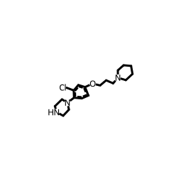 Clc1cc(OCCCN2CCCCC2)ccc1N1CCNCC1